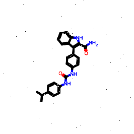 CC(C)c1ccc(NC(=O)Nc2ccc(-c3c(C(N)=O)[nH]c4ccccc34)cc2)cc1